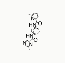 Cc1cncc(C(=O)N[C@@]23CCC[C@@](NC(=O)c4cccc(C)n4)(CC2)C3)n1